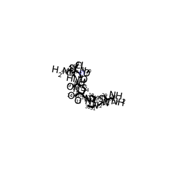 CO/N=C(\C(=O)N[C@@H]1C(=O)N2C(C(=O)[O-])=C(C[n+]3ccc4n(Cc5nc(C(=N)N)cs5)ccn43)CS[C@H]12)c1nc(N)sc1Cl